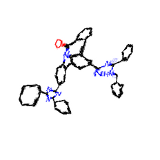 N=C(/N=C(\N=C\c1ccccc1)c1ccccc1)c1cc2c3ccccc3c(=O)n3c4ccc(-c5nc(-c6ccccc6)nc(-c6ccccc6)n5)cc4c(c1)c23